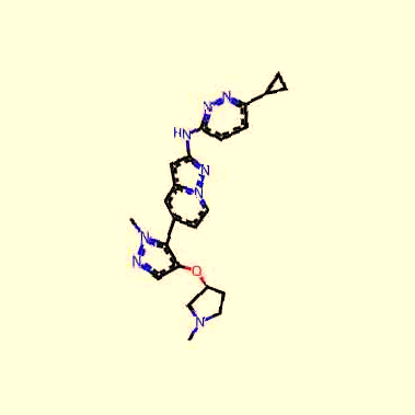 CN1CC[C@H](Oc2cnn(C)c2-c2ccn3nc(Nc4ccc(C5CC5)nn4)cc3c2)C1